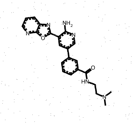 CN(C)CCNC(=O)c1cccc(-c2cnc(N)c(-c3nc4cccnc4o3)c2)c1